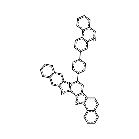 c1ccc2cc3c(cc2c1)nc1c2sc4c5ccccc5ccc4c2cc(-c2ccc(-c4ccc5c(c4)ncc4ccccc45)cc2)n31